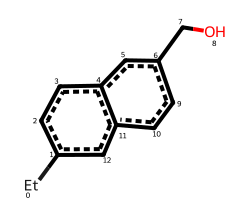 CCc1ccc2cc(CO)ccc2c1